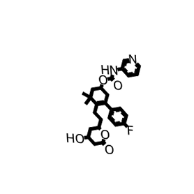 CC1(C)CC(OC(=O)Nc2cccnc2)CC(c2ccc(F)cc2)=C1CCC1CC(O)CC(=O)O1